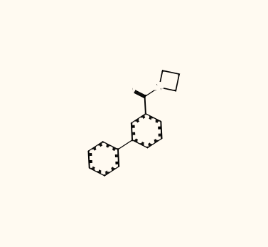 O=C(c1[c]c(-c2ccccc2)ccc1)N1CCC1